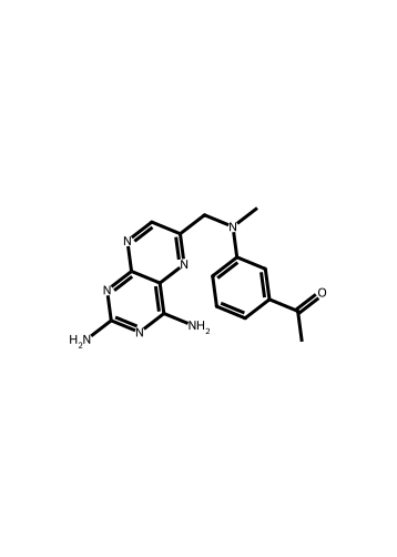 CC(=O)c1cccc(N(C)Cc2cnc3nc(N)nc(N)c3n2)c1